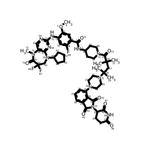 COc1cc(C(=O)NC2CCN(C(=O)C(C)(C)CC(C)(C)N3CCN(c4cccc5c4C(=O)N(C4CCC(=O)NC4=O)C5=O)CC3)CC2)c(F)cc1Nc1ncc2c(n1)N(C1CCCC1)CC(F)(F)C(=O)N2C